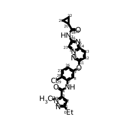 CCc1cc(C(=O)Nc2cc(Oc3ccc4nc(NC(=O)C5CC5)cn4n3)ccc2Cl)n(C)n1